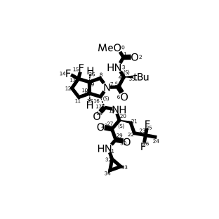 COC(=O)N[C@H](C(=O)N1C[C@H]2[C@H](CCC2(F)F)[C@H]1C(=O)N[C@@H](CCC(C)(F)F)C(=O)C(=O)NC1CC1)C(C)(C)C